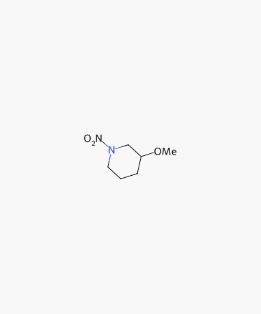 COC1CCCN([N+](=O)[O-])C1